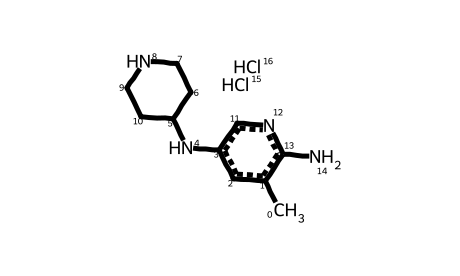 Cc1cc(NC2CCNCC2)cnc1N.Cl.Cl